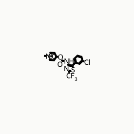 C[N+]12CCC(OC(=O)Nc3nc(C(F)(F)F)sc3-c3cccc(Cl)c3)(CC1)CC2